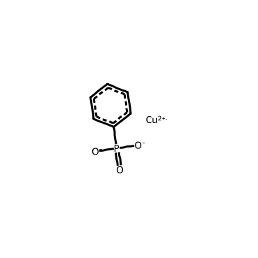 O=P([O-])([O-])c1ccccc1.[Cu+2]